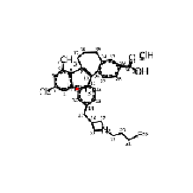 Cc1cc(Cl)cc(C)c1C1=C(c2ccc(CC3CN(CCCF)C3)cc2)c2ccc(C(=O)O)cc2CCC1.Cl